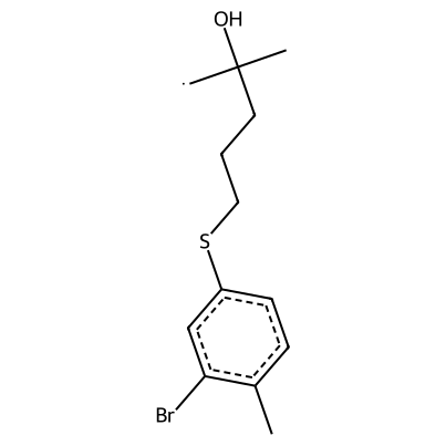 [CH2]C(C)(O)CCCSc1ccc(C)c(Br)c1